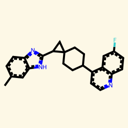 Cc1ccc2nc(C3CC34CCC(c3ccnc5ccc(F)cc35)CC4)[nH]c2c1